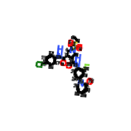 CCS(=O)(=O)N1C[C@H](C(=O)Nc2ccc(Cl)cc2)[C@@H](C(=O)Nc2ccc(-n3ccccc3=O)cc2F)C1